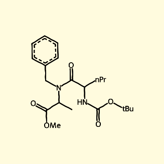 CCCC(NC(=O)OC(C)(C)C)C(=O)N(Cc1ccccc1)C(C)C(=O)OC